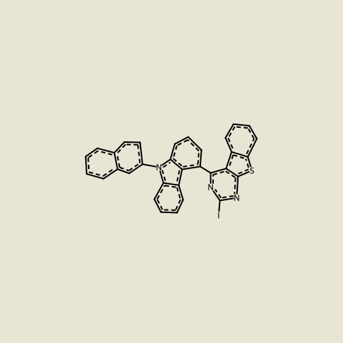 Ic1nc(-c2cccc3c2c2ccccc2n3-c2ccc3ccccc3c2)c2c(n1)sc1ccccc12